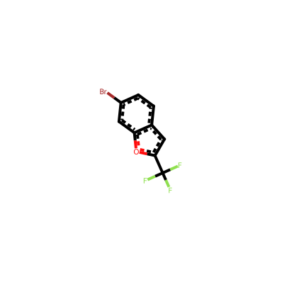 FC(F)(F)c1cc2ccc(Br)cc2o1